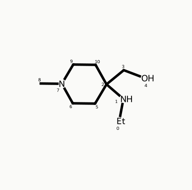 CCNC1(CO)CCN(C)CC1